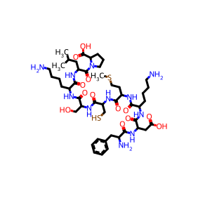 CSCCC(NC(=O)C(CCCCN)NC(=O)C(CC(=O)O)NC(=O)C(N)Cc1ccccc1)C(=O)NC(CS)C(=O)NC(CO)C(=O)NC(CCCCN)C(=O)NC(CC(C)C)C(=O)N1CCCC1C(=O)O